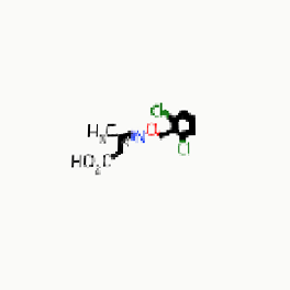 C[C@H](/C=N/OCc1c(Cl)cccc1Cl)CC(=O)O